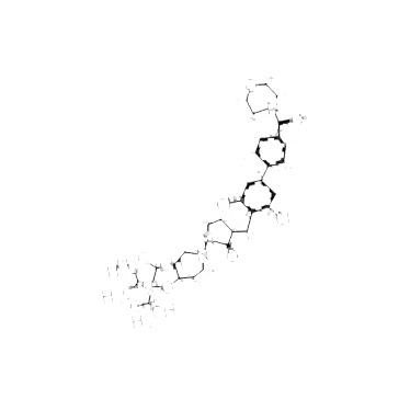 CC(C)[Si](OC1CCN(N2CCC(Cc3c(Cl)cc(-c4ccc(C(=O)N5CCOCC5)cc4)cc3Cl)C2=O)CC1)(C(C)C)C(C)C